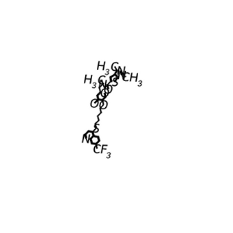 Cc1nn(C)c2sc(C(=O)N(C)Cc3cc(=O)c(OCCCCCSc4ccnc5cc(C(F)(F)F)ccc45)co3)cc12